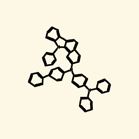 c1ccc(-c2ccc(N(c3ccc(N(c4ccccc4)c4ccccc4)cc3)c3ccc4ccc5c6ccccc6n(-c6ccccc6)c5c4c3)cc2)cc1